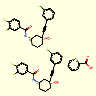 O=C(N[C@@H]1CCC[C@](O)(C#Cc2cccc(Cl)c2)C1)c1ccc(F)c(F)c1.O=C(N[C@H]1CCC[C@@](O)(C#Cc2cccc(Cl)c2)C1)c1ccc(F)c(F)c1.O=C(O)c1ccccn1